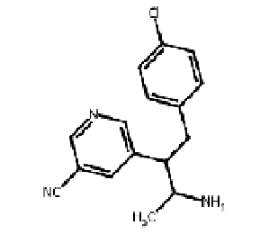 CC(N)C(Cc1ccc(Cl)cc1)c1cncc(C#N)c1